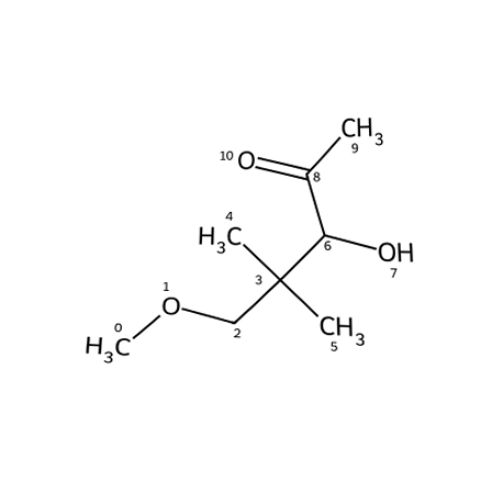 COCC(C)(C)C(O)C(C)=O